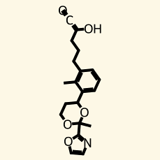 Cc1c(CCCC(O)=C=O)cccc1C1CCOC(C)(c2ncco2)O1